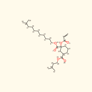 C=CC(=O)OC1(C(=O)OCCCCCCCCCC(C)C)CCCC(C(=O)OCCC(C)C)C1